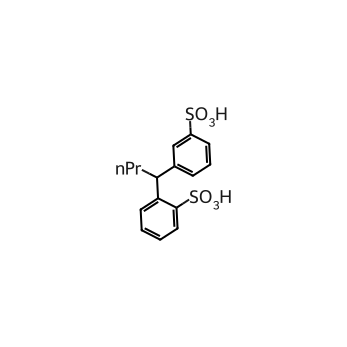 CCCC(c1cccc(S(=O)(=O)O)c1)c1ccccc1S(=O)(=O)O